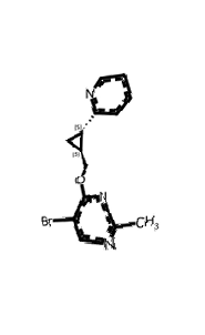 Cc1ncc(Br)c(OC[C@H]2C[C@@H]2c2ccccn2)n1